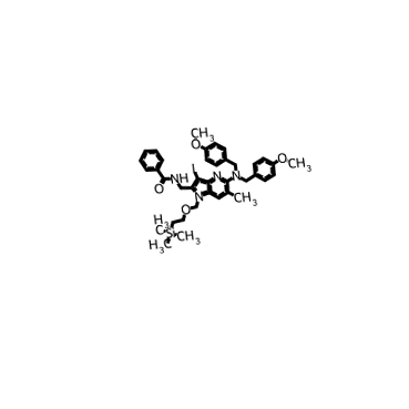 COc1ccc(CN(Cc2ccc(OC)cc2)c2nc3c(I)c(CNC(=O)c4ccccc4)n(COCC[Si](C)(C)C)c3cc2C)cc1